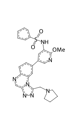 COc1ncc(-c2ccc3ncc4nnc(CN5CCCC5)n4c3c2)cc1NS(=O)(=O)c1ccccc1